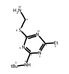 CCc1nc(NC(C)(C)C)nc(SCN)n1